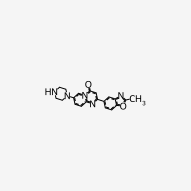 Cc1nc2cc(-c3cc(=O)n4cc(N5CCNCC5)ccc4n3)ccc2o1